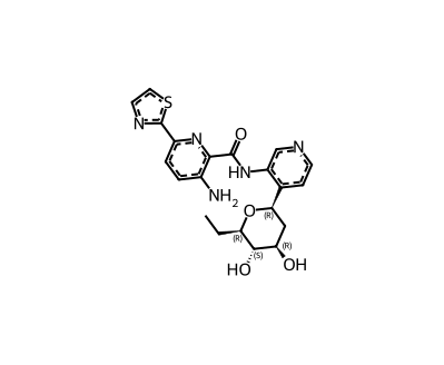 CC[C@H]1O[C@@H](c2ccncc2NC(=O)c2nc(-c3nccs3)ccc2N)C[C@@H](O)[C@@H]1O